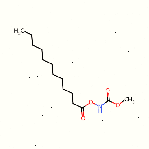 CCCCCCCCCCCC(=O)ONC(=O)OC